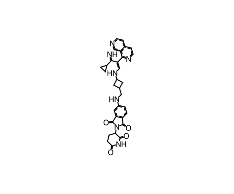 N=C(/C(=C\NC1CC(CNc2ccc3c(c2)C(=O)N(C2CCC(=O)NC2=O)C3=O)C1)c1nccc2ccncc12)C1CC1